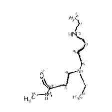 CCNCCCN(CC)CCC(=O)NC